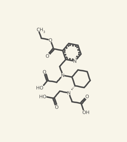 CCOC(=O)c1cccnc1CN(CC(=O)O)C1CCCC[C@@H]1N(CC(=O)O)CC(=O)O